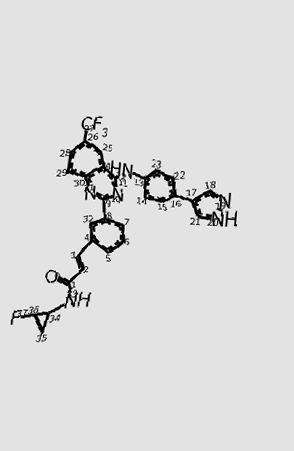 O=C(/C=C/c1cccc(-c2nc(Nc3ccc(-c4cn[nH]c4)cc3)c3cc(C(F)(F)F)ccc3n2)c1)NC1CC1F